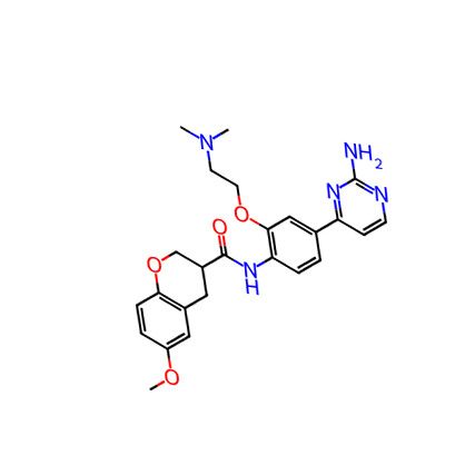 COc1ccc2c(c1)CC(C(=O)Nc1ccc(-c3ccnc(N)n3)cc1OCCN(C)C)CO2